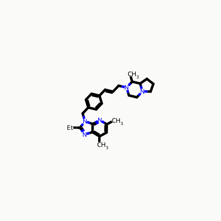 CCc1nc2c(C)cc(C)nc2n1Cc1ccc(C=CCN2CCN3CCCC3C2C)cc1